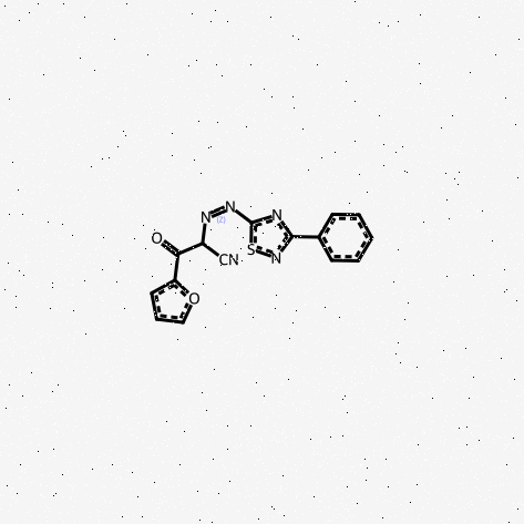 N#CC(/N=N\c1nc(-c2ccccc2)ns1)C(=O)c1ccco1